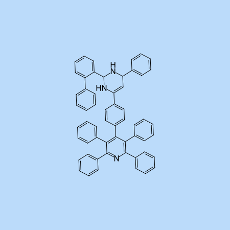 C1=C(c2ccc(-c3c(-c4ccccc4)c(-c4ccccc4)nc(-c4ccccc4)c3-c3ccccc3)cc2)NC(c2ccccc2-c2ccccc2)NC1c1ccccc1